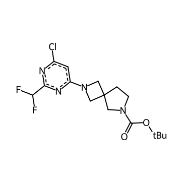 CC(C)(C)OC(=O)N1CCC2(C1)CN(c1cc(Cl)nc(C(F)F)n1)C2